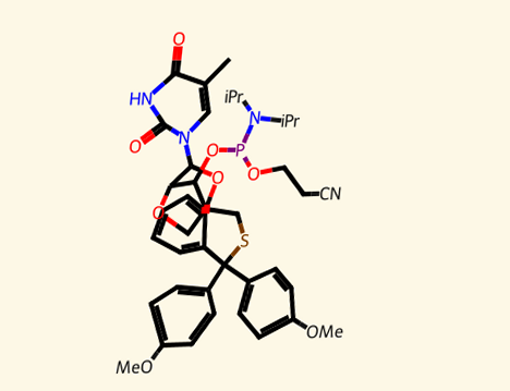 COc1ccc(C(SCC23COC(C(n4cc(C)c(=O)[nH]c4=O)O2)C3OP(OCCC#N)N(C(C)C)C(C)C)(c2ccccc2)c2ccc(OC)cc2)cc1